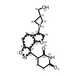 O=C1CCC(c2noc3ccc4c(N5CC(CO)C5)coc4c23)C(=O)N1